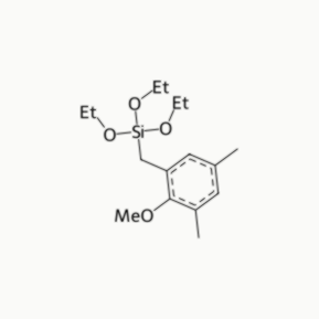 CCO[Si](Cc1cc(C)cc(C)c1OC)(OCC)OCC